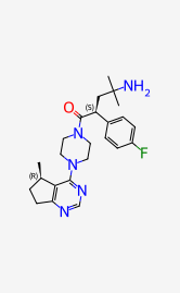 C[C@@H]1CCc2ncnc(N3CCN(C(=O)[C@@H](CC(C)(C)N)c4ccc(F)cc4)CC3)c21